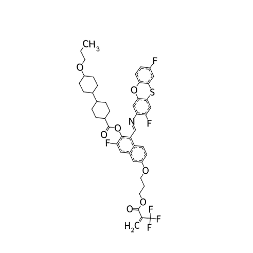 C=C(C(=O)OCCCOc1ccc2c(/C=N/c3cc4c(cc3F)Sc3cc(F)ccc3O4)c(OC(=O)C3CCC(C4CCC(OCCC)CC4)CC3)c(F)cc2c1)C(F)(F)F